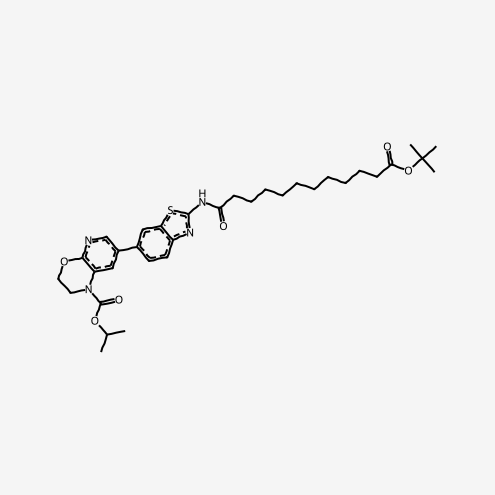 CC(C)OC(=O)N1CCOc2ncc(-c3ccc4nc(NC(=O)CCCCCCCCCCC(=O)OC(C)(C)C)sc4c3)cc21